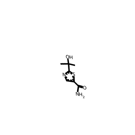 CC(C)(O)c1ncc(C(N)=O)s1